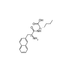 CCCC[C@H](NC(=O)[C@@H](N)Cc1ccc2ccccc2c1)C(=O)O